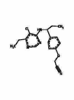 CCc1ncnc(NC(CC)c2ccc(OCC#N)cc2)c1Cl